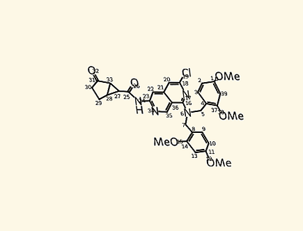 COc1ccc(CN(Cc2ccc(OC)cc2OC)c2nc(Cl)cc3cc(NC(=O)C4C5CCC(=O)C54)ncc23)c(OC)c1